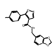 Cc1ccc(-c2oncc2C(=O)NCc2ccc3c(c2)OCO3)cc1